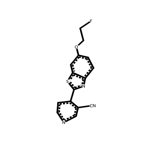 N#Cc1cnccc1-c1nc2ccc(OCCF)cc2s1